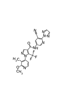 COc1nccc(-n2ncc(C(=O)Nc3cnc(-n4nccn4)c(C#N)c3)c2C(F)(F)F)c1C